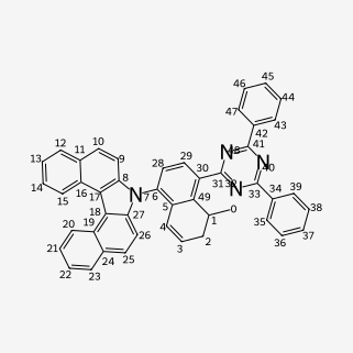 CC1CC=Cc2c(-n3c4ccc5ccccc5c4c4c5ccccc5ccc43)ccc(-c3nc(-c4ccccc4)nc(-c4ccccc4)n3)c21